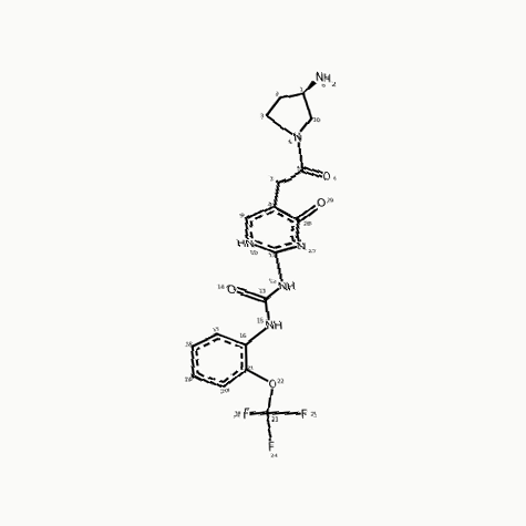 N[C@@H]1CCN(C(=O)Cc2c[nH]c(NC(=O)Nc3ccccc3OC(F)(F)F)nc2=O)C1